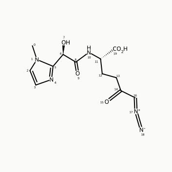 Cn1ccnc1[C@@H](O)C(=O)N[C@@H](CCC(=O)C=[N+]=[N-])C(=O)O